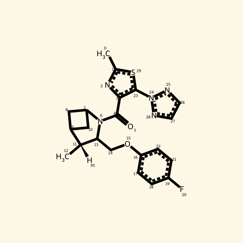 Cc1nc(C(=O)N2C3CC(C3)[C@@H](C)C2COc2ccc(F)cc2)c(-n2nccn2)s1